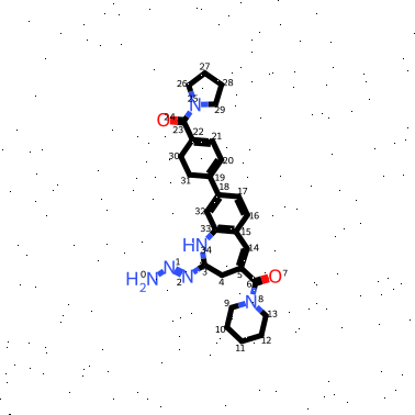 NN=NC1CC(C(=O)N2CCCCC2)=Cc2ccc(C3=CC=C(C(=O)N4CCCC4)CC3)cc2N1